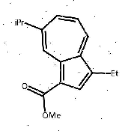 CCc1cc(C(=O)OC)c2cc(C(C)C)cccc1-2